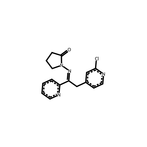 O=C1CCCN1N=C(Cc1ccnc(Cl)c1)c1ccccn1